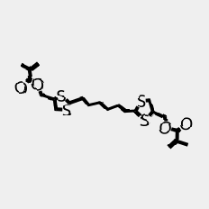 C=C(C)C(=O)OCC1CSC(CCCCCCC2SCC(COC(=O)C(=C)C)S2)S1